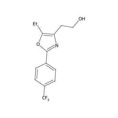 CCc1oc(-c2ccc(C(F)(F)F)cc2)nc1CCO